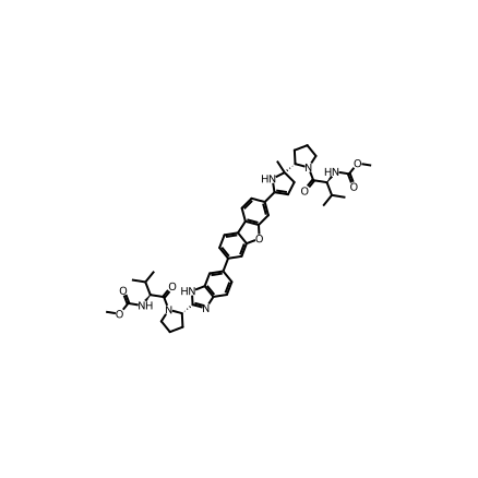 COC(=O)N[C@H](C(=O)N1CCC[C@H]1C1(C)CC=C(c2ccc3c(c2)oc2cc(-c4ccc5nc([C@@H]6CCCN6C(=O)[C@@H](NC(=O)OC)C(C)C)[nH]c5c4)ccc23)N1)C(C)C